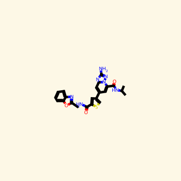 CC(C)NC(=O)c1cc(-c2csc(C(=O)NCc3nc4ccccc4o3)c2)cc2nc(N)nn12